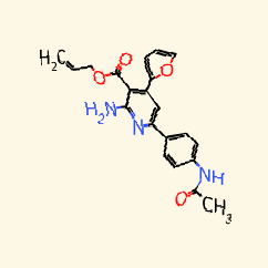 C=CCOC(=O)c1c(-c2ccco2)cc(-c2ccc(NC(C)=O)cc2)nc1N